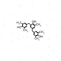 Cc1cc(Cc2cc(C)c(O)c(Cc3cc(C)c(O)c(C)c3)c2)cc(C)c1O